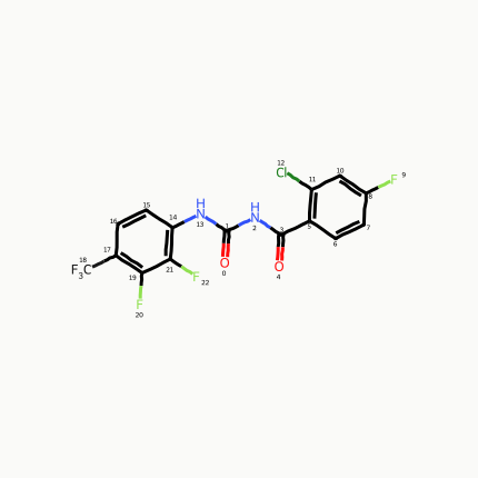 O=C(NC(=O)c1ccc(F)cc1Cl)Nc1ccc(C(F)(F)F)c(F)c1F